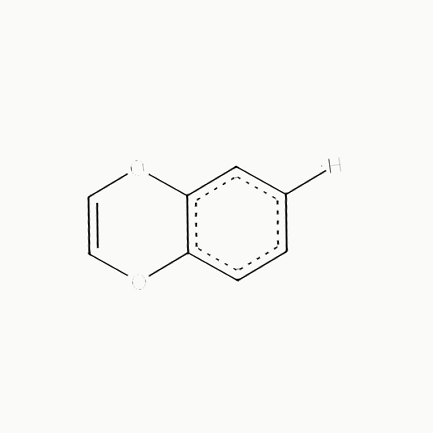 [2H]c1ccc2c(c1)OC=CO2